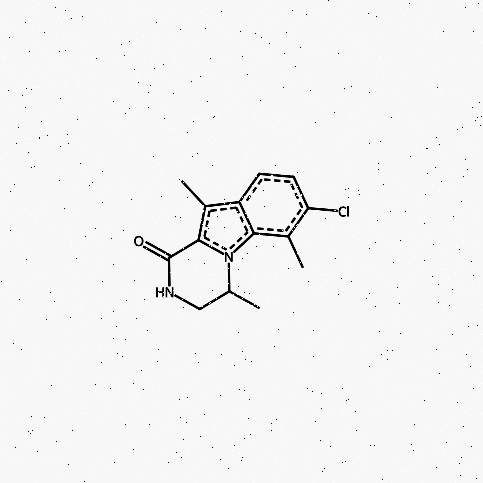 Cc1c2n(c3c(C)c(Cl)ccc13)C(C)CNC2=O